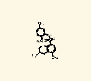 COc1ccc(C)cc1NS(=O)(=O)c1ccc(OC)c2c1OC[C@H](N)C2